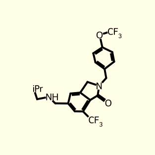 CC(C)CNCc1cc2c(c(C(F)(F)F)c1)C(=O)N(Cc1ccc(OC(F)(F)F)cc1)C2